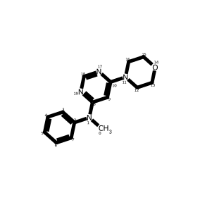 CN(c1ccccc1)c1cc(N2CCOCC2)ncn1